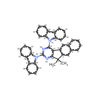 CC1(C)c2cc3ccccc3cc2-c2c(-n3c4ccccc4c4ccccc43)nc(-n3c4ccccc4c4ccccc43)nc21